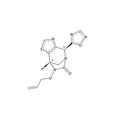 C=CCON1C(=O)N2C[C@H]1c1scnc1[C@H]2c1ncno1